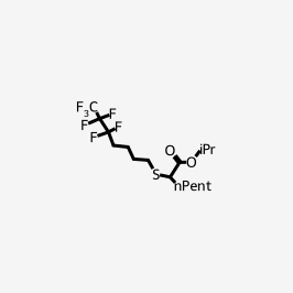 CCCCCC(SCCCCC(F)(F)C(F)(F)C(F)(F)F)C(=O)OC(C)C